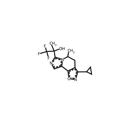 CC1Cc2c(C3CC3)noc2-c2cnc(C(C)(O)C(F)(F)F)n21